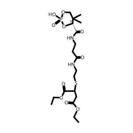 CCOC(=O)CC(SCCNC(=O)CCNC(=O)[C@@H]1OP(=O)(O)OCC1(C)C)C(=O)OCC